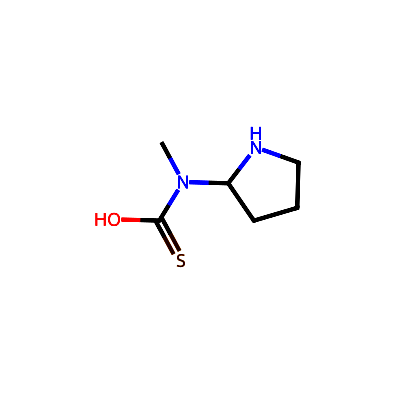 CN(C(O)=S)C1CCCN1